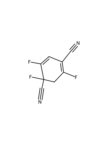 N#CC1=C(F)CC(F)(C#N)C(F)=C1